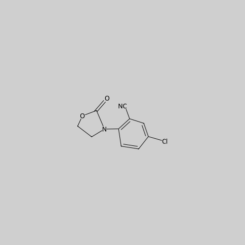 N#Cc1cc(Cl)ccc1N1CCOC1=O